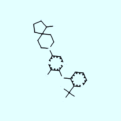 Nc1nc(N2CCC3(CCCC3N)CC2)cnc1Sc1cccnc1C(F)(F)F